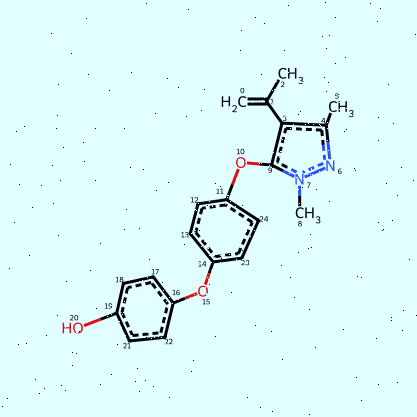 C=C(C)c1c(C)nn(C)c1Oc1ccc(Oc2ccc(O)cc2)cc1